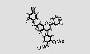 COc1ccc(C(=CC(=O)N2CCOCC2)c2ccc(Oc3ccc(Br)cc3C)nc2)cc1OC